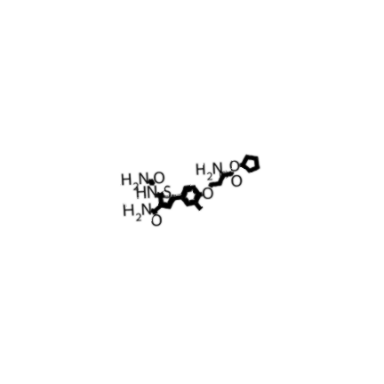 Cc1cc(-c2cc(C(N)=O)c(NC(N)=O)s2)ccc1OCC[C@H](N)C(=O)OC1CCCC1